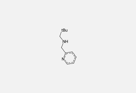 CC(C)(C)CNCc1ccccn1